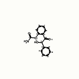 NC(=O)Oc1ccccc1C(=O)C(O)c1ccccc1